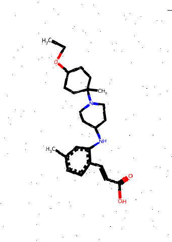 CCOC1CCC(C)(N2CCC(Nc3cc(C)ccc3C=CC(=O)O)CC2)CC1